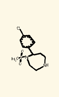 CS(=O)(=O)N1CCNCCC1c1ccc(Cl)cc1